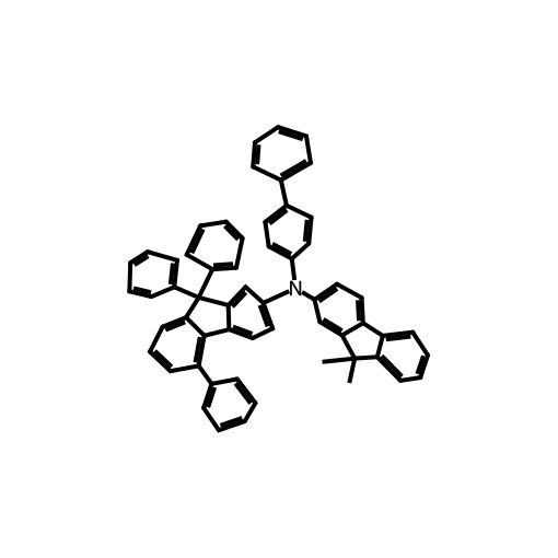 CC1(C)c2ccccc2-c2ccc(N(c3ccc(-c4ccccc4)cc3)c3ccc4c(c3)C(c3ccccc3)(c3ccccc3)c3cccc(-c5ccccc5)c3-4)cc21